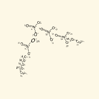 O.O.O.O.O.O=[N+]([O-])[O-].O=[N+]([O-])[O-].O=[N+]([O-])[O-].O=[N+]([O-])[O-].[Cu+2].[Cu+2]